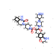 Cc1cc(C[C@@H](OC(=O)N2CCC(N3CCc4ccccc4NC3=O)CC2)C(=O)N2CCN(C3CCNCC3)CC2)cc2c1NCCO2